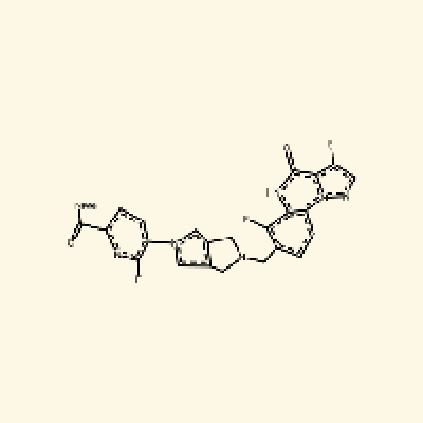 CNC(=O)c1ccc(-n2cc3c(c2)CN(Cc2ccc4c([nH]c(=O)c5c(F)cnn54)c2F)C3)c(F)n1